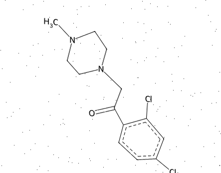 CN1CCN(CC(=O)c2ccc(Cl)cc2Cl)CC1